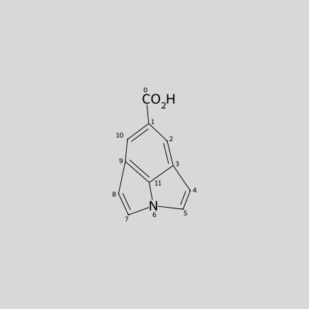 O=C(O)c1cc2ccn3ccc(c1)c23